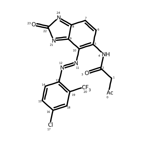 CC(=O)CC(=O)Nc1ccc2c(c1N=Nc1ccc(Cl)cc1C(F)(F)F)=NC(=O)N=2